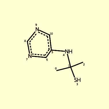 CC(C)(S)Nc1cncnc1